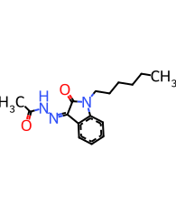 CCCCCCN1C(=O)/C(=N\NC(C)=O)c2ccccc21